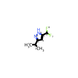 CC(C)c1cc(C(F)F)[nH]n1